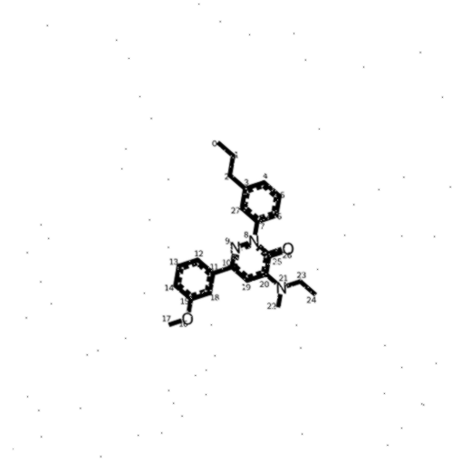 CCCc1cccc(-n2nc(-c3cccc(OC)c3)cc(N(C)CC)c2=O)c1